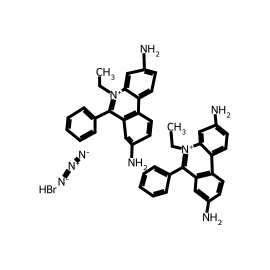 Br.CC[n+]1c(-c2ccccc2)c2cc(N)ccc2c2ccc(N)cc21.CC[n+]1c(-c2ccccc2)c2cc(N)ccc2c2ccc(N)cc21.[N-]=[N+]=[N-]